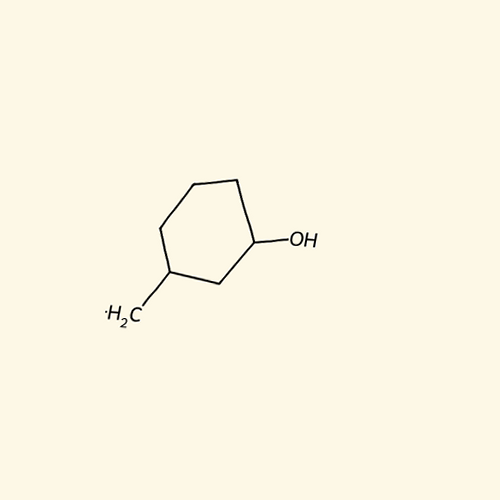 [CH2]C1CCCC(O)C1